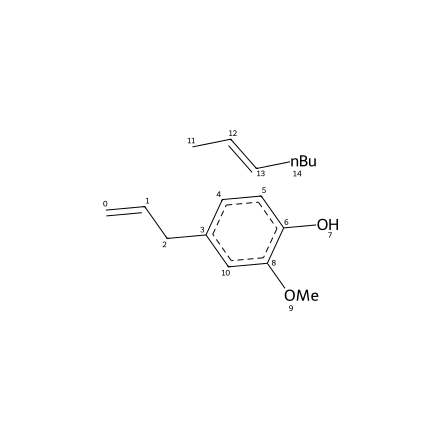 C=CCc1ccc(O)c(OC)c1.CC=CCCCC